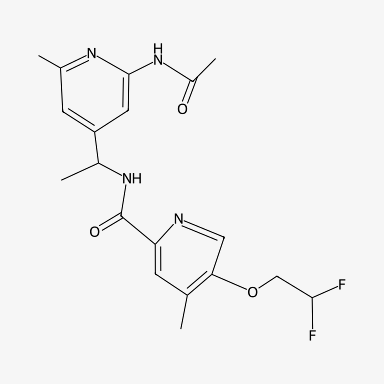 CC(=O)Nc1cc(C(C)NC(=O)c2cc(C)c(OCC(F)F)cn2)cc(C)n1